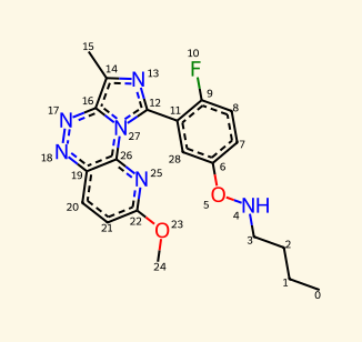 CCCCNOc1ccc(F)c(-c2nc(C)c3nnc4ccc(OC)nc4n23)c1